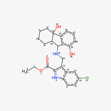 CCOC(=O)c1[nH]c2ccc(Cl)cc2c1CNCC1CCCCC1(O)c1cccc(O)c1